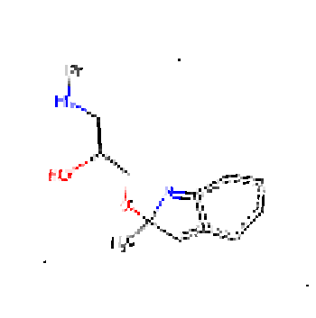 CC(C)NCC(O)COC1(C)C=c2ccccc2=N1